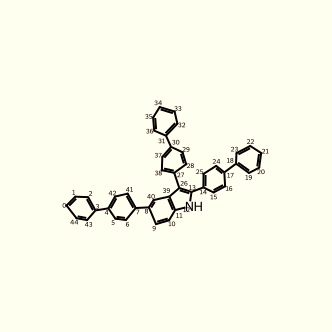 c1ccc(-c2ccc(-c3ccc4[nH]c(-c5ccc(-c6ccccc6)cc5)c(-c5ccc(-c6ccccc6)cc5)c4c3)cc2)cc1